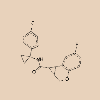 O=C(NC1(c2ccc(F)cc2)CC1)C1C2COc3ccc(F)cc3C21